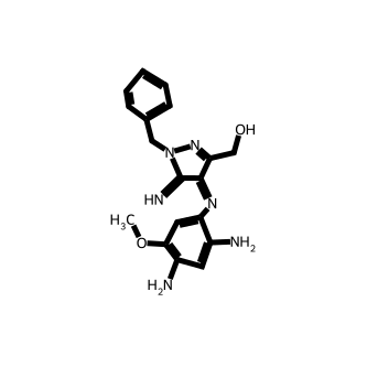 COc1cc(N=C2C(=N)N(Cc3ccccc3)N=C2CO)c(N)cc1N